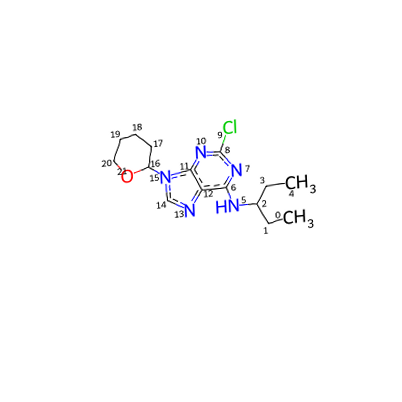 CCC(CC)Nc1nc(Cl)nc2c1ncn2C1CCCCO1